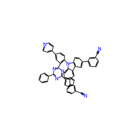 N#Cc1cccc(-c2ccc3c(c2)c2cc(-c4cccc(C#N)c4)ccc2n3-c2ccc(-c3ccncc3)cc2-c2nc(-c3ccccc3)nc(-c3ccccc3)n2)c1